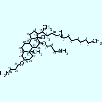 CCCCCCCCNCCCC(C)C1CCC2C3CCC4C[C@H](OCCCN)CCC4(C)C3C[C@H](OCCCN)C12C